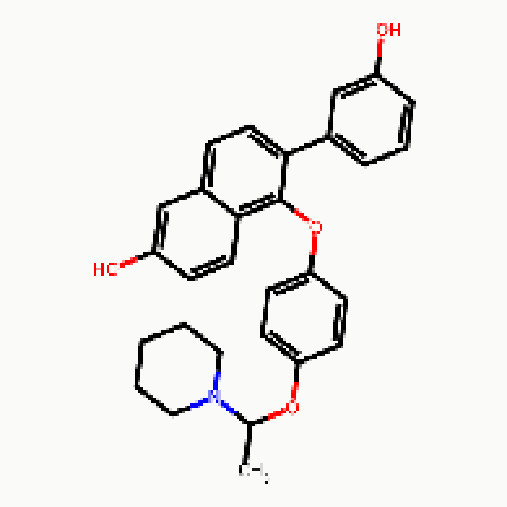 CC(Oc1ccc(Oc2c(-c3cccc(O)c3)ccc3cc(O)ccc23)cc1)N1CCCCC1